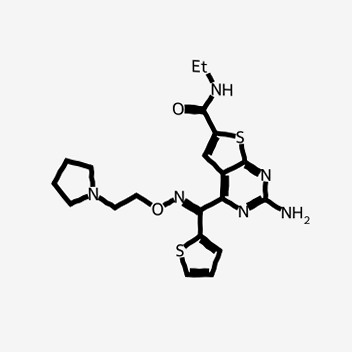 CCNC(=O)c1cc2c(C(=NOCCN3CCCC3)c3cccs3)nc(N)nc2s1